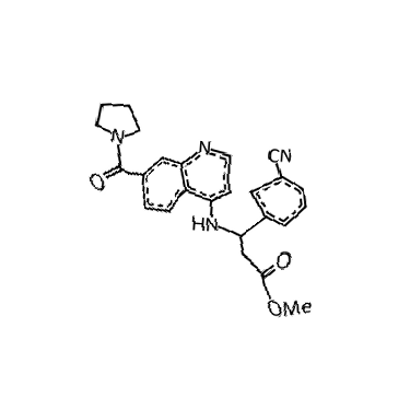 COC(=O)CC(Nc1ccnc2cc(C(=O)N3CCCC3)ccc12)c1cccc(C#N)c1